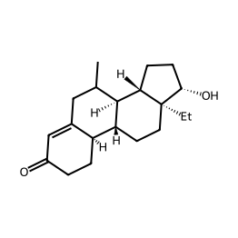 CC[C@]12CC[C@H]3[C@@H](C(C)CC4=CC(=O)CC[C@@H]43)[C@@H]1CC[C@@H]2O